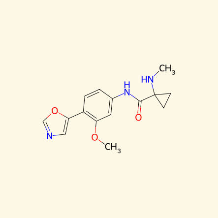 CNC1(C(=O)Nc2ccc(-c3cnco3)c(OC)c2)CC1